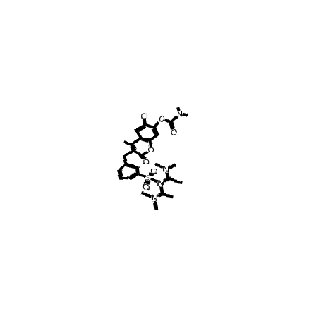 Cc1c(Cc2cccc(S(=O)(=O)N(C(C)N(C)C)C(C)N(C)C)c2)c(=O)oc2cc(OC(=O)N(C)C)c(Cl)cc12